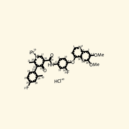 COc1cc2nccc(Oc3ccc(NC(=O)c4cn(C(C)C)c(C)c(-c5ccc(F)cc5C)c4=O)cc3F)c2nc1OC.Cl